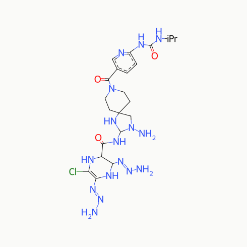 CC(C)NC(=O)Nc1ccc(C(=O)N2CCC3(CC2)CN(N)C(NC(=O)C2NC(Cl)=C(N=NN)NC2N=NN)N3)cn1